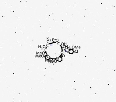 CC[C@@H]1/C=C(\C)CC(C)C[C@H](OC)[C@H]2O[C@@](O)(C(=O)C(=O)N3CCCC[C@H]3C(=O)O[C@H](/C(C)=C/[C@@H]3CC[C@H](Cl)[C@H](OC)C3)[C@H](C)[C@@H](O)CC1=O)[C@H](C)C[C@@H]2OC